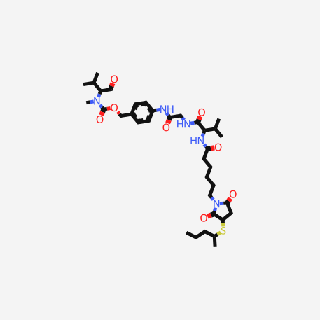 CCCC(C)SC1CC(=O)N(CCCCCC(=O)NC(C(=O)NCC(=O)Nc2ccc(COC(=O)N(C)C(C=O)C(C)C)cc2)C(C)C)C1=O